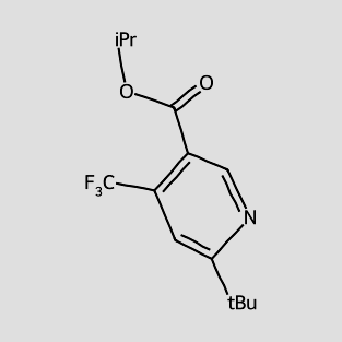 CC(C)OC(=O)c1cnc(C(C)(C)C)cc1C(F)(F)F